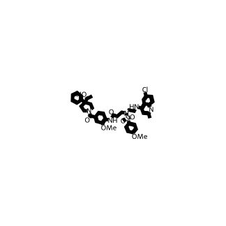 COc1ccc(S(=O)(=O)N(CCNc2cc(C)nc3ccc(Cl)cc23)CCC(=O)Nc2ccc(C(=O)N3CCC(c4ccccc4)(C(C)O)CC3)cc2OC)cc1